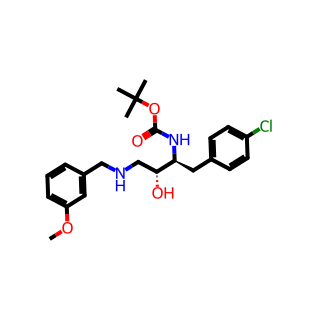 COc1cccc(CNC[C@@H](O)[C@H](Cc2ccc(Cl)cc2)NC(=O)OC(C)(C)C)c1